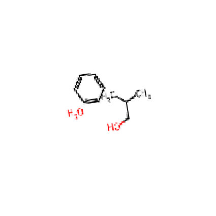 CC(C)CO.O.c1ccccc1